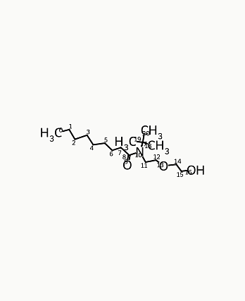 CCCCCCCCC(=O)N(CCOCCO)C(C)(C)C